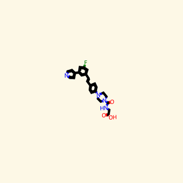 O=C(O)CNC(=O)N1CCN(c2ccc(/C=C/c3cc(F)cc(-c4ccncc4)c3)cc2)CC1